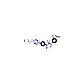 COc1cccc(NC(=O)Nc2ccc(N3CCN(C(=O)O)CC3)cc2)c1